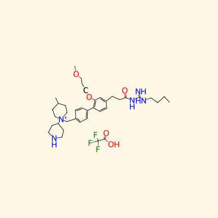 CCCCNC(=N)NC(=O)CCc1ccc(-c2ccc(C[N+]3(C4CCNCC4)CCC(C)CC3)cc2)c(OCCCOC)c1.O=C(O)C(F)(F)F